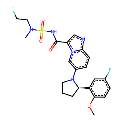 COc1ccc(F)cc1[C@H]1CCCN1c1ccc2ncc(C(=O)NS(=O)(=O)N(C)CCF)n2c1